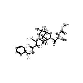 CCCC(C(=O)C(=O)N[C@H](C)c1ccccc1)N1CC(F)(F)[C@H]2CN(C(=O)[C@@H](NC(=O)OC(C)C)C(C)(C)C)[C@H](C1=O)[C@H]2C